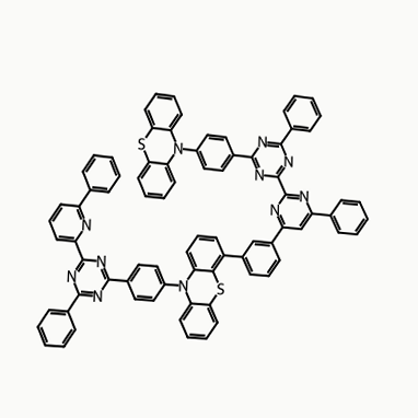 c1ccc(-c2cccc(-c3nc(-c4ccccc4)nc(-c4ccc(N5c6ccccc6Sc6c(-c7cccc(-c8cc(-c9ccccc9)nc(-c9nc(-c%10ccccc%10)nc(-c%10ccc(N%11c%12ccccc%12Sc%12ccccc%12%11)cc%10)n9)n8)c7)cccc65)cc4)n3)n2)cc1